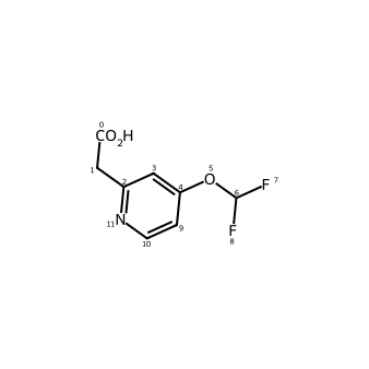 O=C(O)Cc1cc(OC(F)F)ccn1